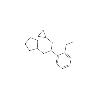 CCc1ccccc1[C](CC1CCCC1)CC1CC1